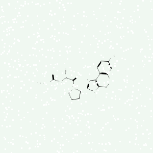 COC(=O)N[C@H](C(=O)N1CCC[C@H]1c1nc2c([nH]1)COc1cc(Br)ccc1-2)C(C)C